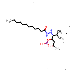 CCCCCCCCCCCC(=O)NN[C@@H](C(C)C)C(CCC)OP(O)O